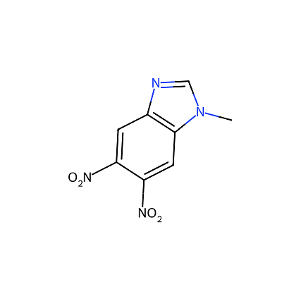 Cn1cnc2cc([N+](=O)[O-])c([N+](=O)[O-])cc21